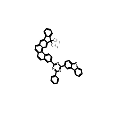 CC1(C)c2ccccc2-c2cc3ccc4ccc5cc(-c6nc(-c7ccccc7)nc(-c7ccc8sc9ccccc9c8c7)n6)ccc5c4c3cc21